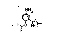 Cc1nc(-c2cc(N)ccc2OC(F)F)no1